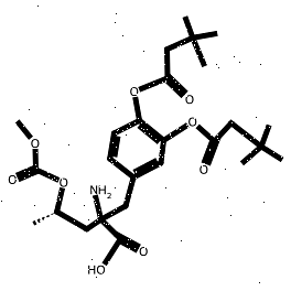 COC(=O)O[C@@H](C)CC(N)(Cc1ccc(OC(=O)CC(C)(C)C)c(OC(=O)CC(C)(C)C)c1)C(=O)O